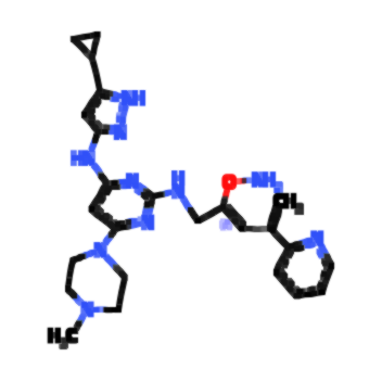 C=C(/C=C(/CNc1nc(Nc2cc(C3CC3)[nH]n2)cc(N2CCN(C)CC2)n1)ON)c1ccccn1